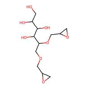 OCC(O)C(O)C(O)C(COCC1CO1)OCC1CO1